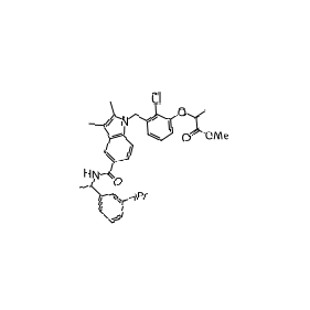 COC(=O)C(C)Oc1cccc(Cn2c(C)c(C)c3cc(C(=O)NC(C)c4cccc(C(C)C)c4)ccc32)c1Cl